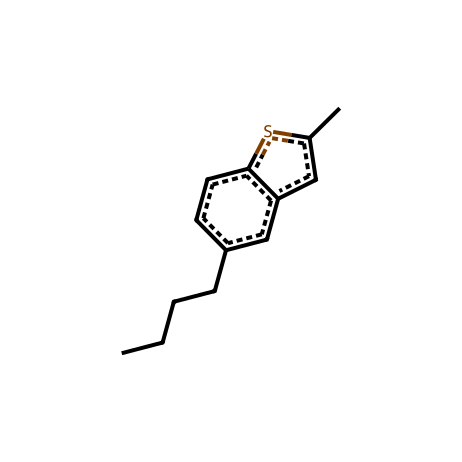 CCCCc1ccc2sc(C)cc2c1